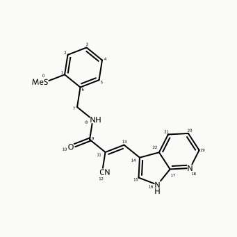 CSc1ccccc1CNC(=O)/C(C#N)=C/c1c[nH]c2ncccc12